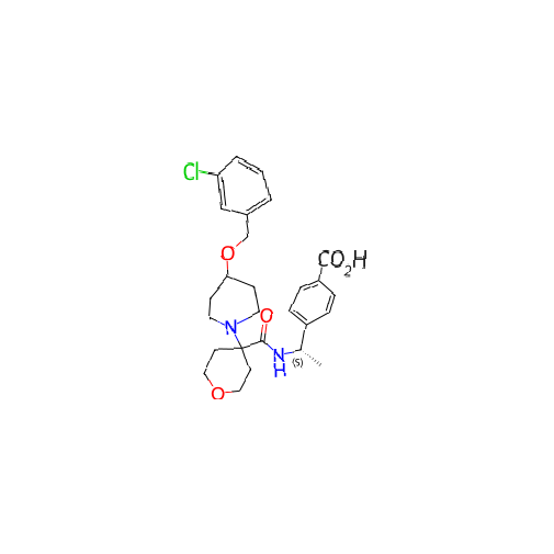 C[C@H](NC(=O)C1(N2CCC(OCc3cccc(Cl)c3)CC2)CCOCC1)c1ccc(C(=O)O)cc1